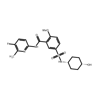 COc1ccc(S(=O)(=O)N[C@H]2CC[C@@H](O)CC2)cc1C(=O)Nc1ccc(F)c(C)n1